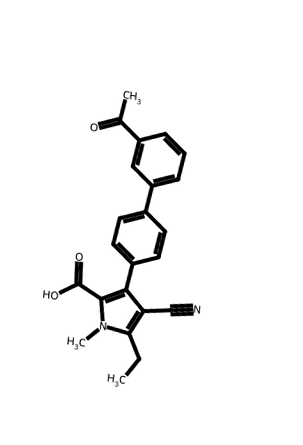 CCc1c(C#N)c(-c2ccc(-c3cccc(C(C)=O)c3)cc2)c(C(=O)O)n1C